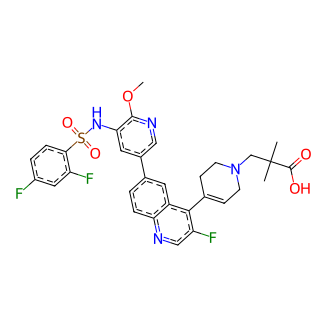 COc1ncc(-c2ccc3ncc(F)c(C4=CCN(CC(C)(C)C(=O)O)CC4)c3c2)cc1NS(=O)(=O)c1ccc(F)cc1F